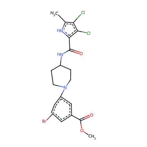 COC(=O)c1cc(Br)cc(N2CCC(NC(=O)c3[nH]c(C)c(Cl)c3Cl)CC2)c1